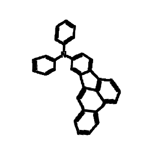 c1ccc(N(c2ccccc2)c2ccc3c(c2)-c2cc4ccccc4c4cccc-3c24)cc1